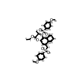 CCOC(=O)C(C)N(c1ccc(CS(=O)(=O)c2ccc(OC)cc2)c2ccccc12)S(=O)(=O)c1ccc(OC)cc1